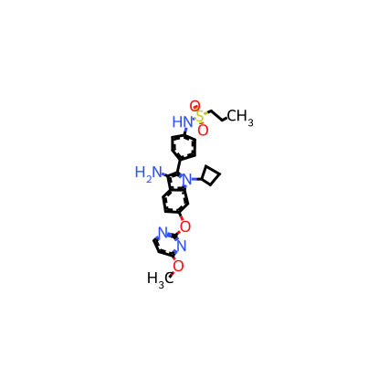 CCCS(=O)(=O)Nc1ccc(-c2c(N)c3ccc(Oc4nccc(OC)n4)cc3n2C2CCC2)cc1